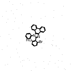 Oc1cccc(Br)c1-c1nc2c3ccccc3c3ccccc3c2n1-c1ccccc1